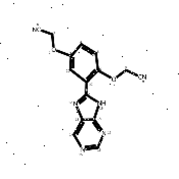 N#CCOc1ccc(OCC#N)c(-c2nc3cncnc3[nH]2)c1